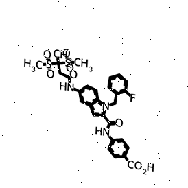 CC(CC(=O)Nc1ccc2c(c1)cc(C(=O)Nc1ccc(C(=O)O)cc1)n2Cc1ccccc1F)(S(C)(=O)=O)S(C)(=O)=O